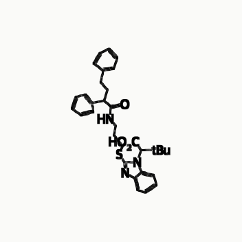 CC(C)(C)C(C(=O)O)n1c(SCCCNC(=O)C(CCc2ccccc2)c2ccccc2)nc2ccccc21